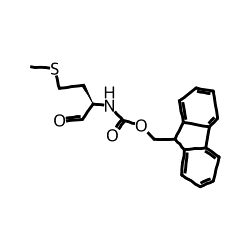 CSCC[C@H](C=O)NC(=O)OCC1c2ccccc2-c2ccccc21